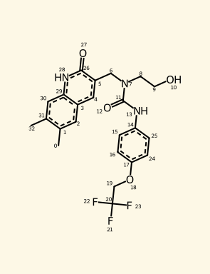 Cc1cc2cc(CN(CCO)C(=O)Nc3ccc(OCC(F)(F)F)cc3)c(=O)[nH]c2cc1C